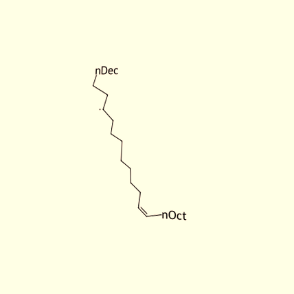 CCCCCCCC/C=C\CCCCCCC[CH]CCCCCCCCCCCC